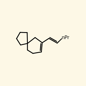 CCCC=CC1=CCCC2(CCCC2)C1